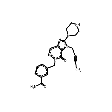 CC#CCn1c(N2CCNCC2)nc2cnn(Cc3cccc(C(N)=O)c3)c(=O)c21